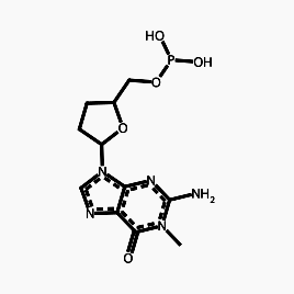 Cn1c(N)nc2c(ncn2C2CCC(COP(O)O)O2)c1=O